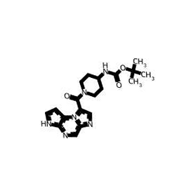 CC(C)(C)OC(=O)NC1CCN(C(=O)c2cnc3cnc4[nH]ccc4n23)CC1